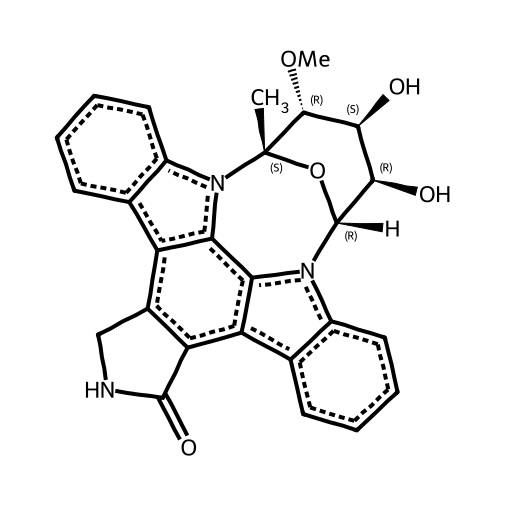 CO[C@@H]1[C@@H](O)[C@@H](O)[C@H]2O[C@]1(C)n1c3ccccc3c3c4c(c5c6ccccc6n2c5c31)C(=O)NC4